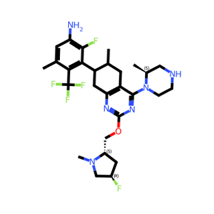 Cc1cc(N)c(F)c(C2Cc3nc(OC[C@@H]4C[C@@H](F)CN4C)nc(N4CCNC[C@@H]4C)c3CC2C)c1C(F)(F)F